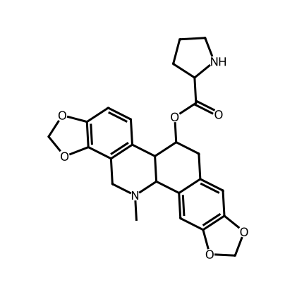 CN1Cc2c(ccc3c2OCO3)C2C(OC(=O)C3CCCN3)Cc3cc4c(cc3C21)OCO4